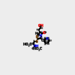 CCOC(=O)N[C@@H](CSC1=C(C(=O)O)N2C(=O)[C@H](CCO)[C@H]2S1)C(=O)O.c1ccncc1